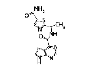 CC(NC(=O)c1ncnc2[nH]ccc12)c1ncc(C(N)=O)s1